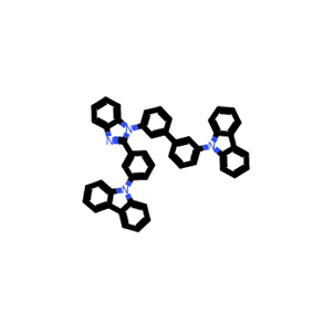 c1cc(-c2cccc(-n3c4ccccc4c4ccccc43)c2)cc(-n2c(-c3cccc(-n4c5ccccc5c5ccccc54)c3)nc3ccccc32)c1